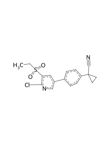 CCS(=O)(=O)c1cc(-c2ccc(C3(C#N)CC3)cc2)cnc1Cl